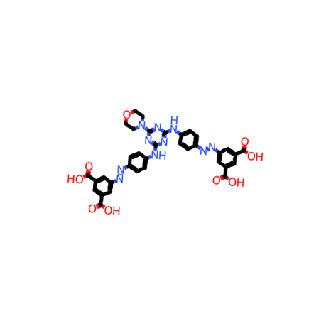 O=C(O)c1cc(/N=N/c2ccc(Nc3nc(Nc4ccc(/N=N/c5cc(C(=O)O)cc(C(=O)O)c5)cc4)nc(N4CCOCC4)n3)cc2)cc(C(=O)O)c1